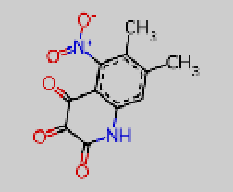 Cc1cc2c(c([N+](=O)[O-])c1C)C(=O)C(=O)C(=O)N2